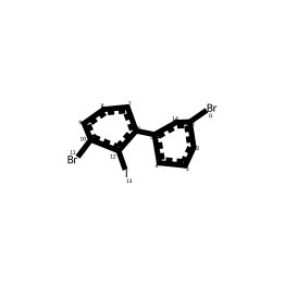 Brc1cccc(-c2cccc(Br)c2I)c1